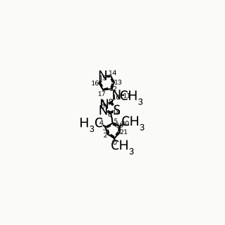 Cc1cc(C)c(-c2nnc(N(C)c3ccncc3)s2)c(C)c1